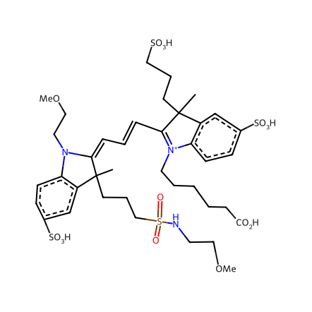 COCCNS(=O)(=O)CCCC1(C)/C(=C\C=C\C2=[N+](CCCCCC(=O)O)c3ccc(S(=O)(=O)O)cc3C2(C)CCCS(=O)(=O)O)N(CCOC)c2ccc(S(=O)(=O)O)cc21